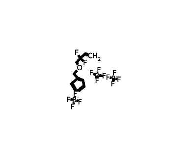 C=CC(F)(F)COCc1ccccc1.F[B-](F)(F)F.F[B-](F)(F)F.F[B-](F)(F)F